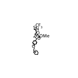 COC(=O)C1OC(c2csc(C(F)(F)F)n2)CN1C(C)Cc1ccc(OCCN2CCCCC2)cc1